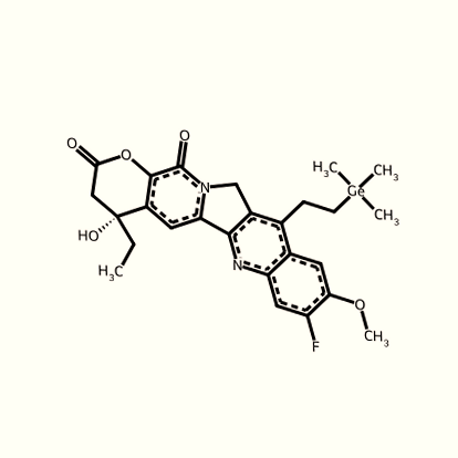 CC[C@@]1(O)CC(=O)Oc2c1cc1n(c2=O)Cc2c-1nc1cc(F)c(OC)cc1c2C[CH2][Ge]([CH3])([CH3])[CH3]